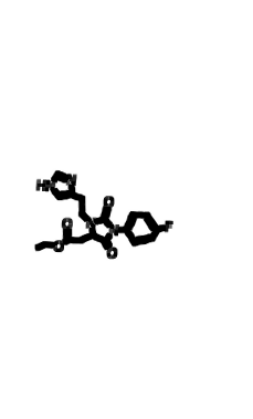 CCOC(=O)CC1C(=O)N(c2ccc(F)cc2)C(=O)N1CCc1c[nH]cn1